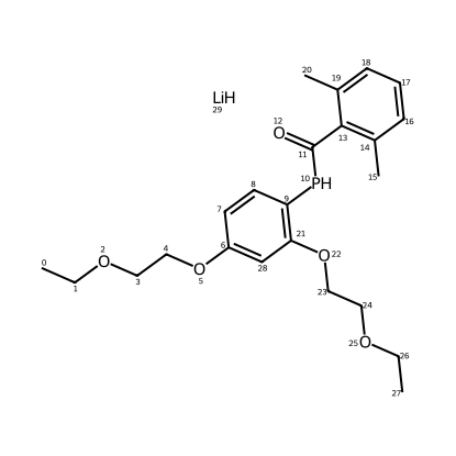 CCOCCOc1ccc(PC(=O)c2c(C)cccc2C)c(OCCOCC)c1.[LiH]